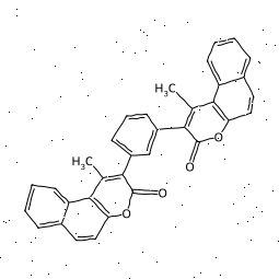 Cc1c(-c2cccc(-c3c(C)c4c(ccc5ccccc54)oc3=O)c2)c(=O)oc2ccc3ccccc3c12